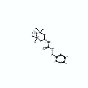 CC1(C)CC(NC(=O)OCc2ccccc2)CC(C)(C)N1